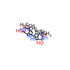 CC(C)[C@H]1C(=O)N[C@H](CO)Cc2c[nH]c3c(Cc4ccc5c6c(c[nH]c46)C[C@@H](CO)NC(=O)[C@H](C(C)C)N5C)ccc(c23)N1C